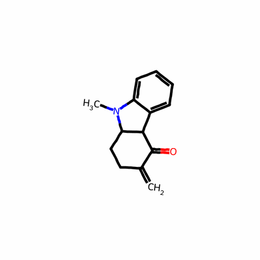 C=C1CCC2C(C1=O)c1ccccc1N2C